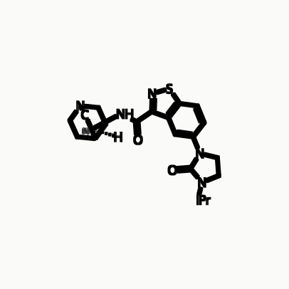 CC(C)N1CCN(c2ccc3snc(C(=O)N[C@@H]4CN5CCC4CC5)c3c2)C1=O